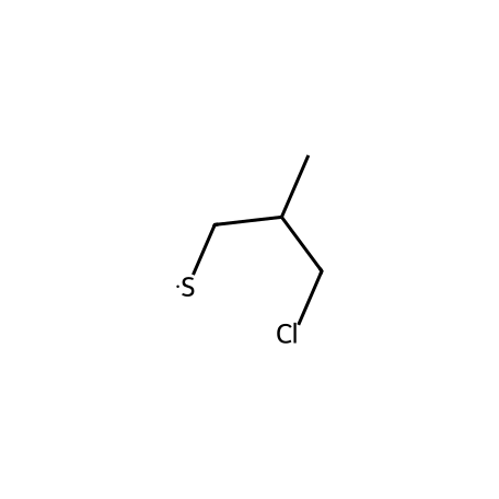 CC(C[S])CCl